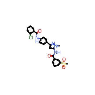 Cn1nc(-c2ccc(NC(=O)c3ccccc3Cl)cc2)cc1NC(=O)c1cccc(S(C)(=O)=O)c1